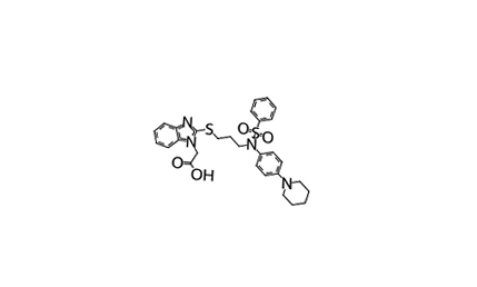 O=C(O)Cn1c(SCCCN(c2ccc(N3CCCCC3)cc2)S(=O)(=O)c2ccccc2)nc2ccccc21